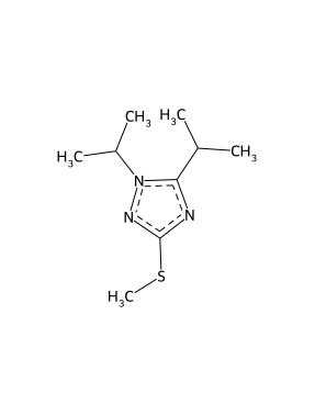 CSc1nc(C(C)C)n(C(C)C)n1